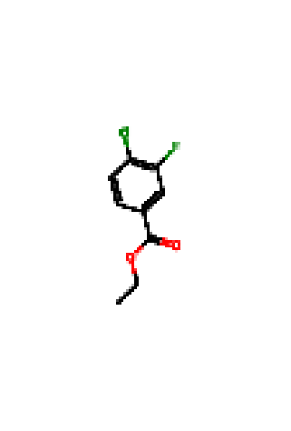 CCOC(=O)c1ccc(Cl)c(F)c1